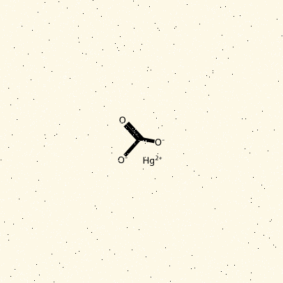 O=C([O-])[O-].[Hg+2]